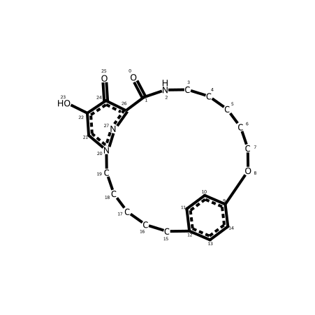 O=C1NCCCCCOc2ccc(cc2)CCCCCn2cc(O)c(=O)c1n2